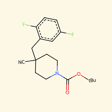 CC(C)(C)OC(=O)N1CCC(C#N)(Cc2cc(F)ccc2F)CC1